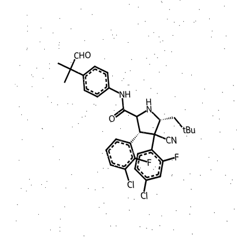 CC(C)(C)C[C@H]1NC(C(=O)Nc2ccc(C(C)(C)C=O)cc2)[C@@H](c2cccc(Cl)c2F)C1(C#N)c1ccc(Cl)cc1F